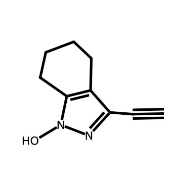 C#Cc1nn(O)c2c1CCCC2